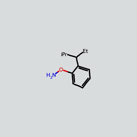 CCC(c1ccccc1ON)C(C)C